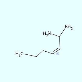 BC(N)/C=C\CCC